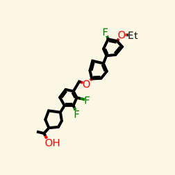 CCOc1ccc(-c2ccc(OCc3ccc(C4CCC(C(C)O)CC4)c(F)c3F)cc2)cc1F